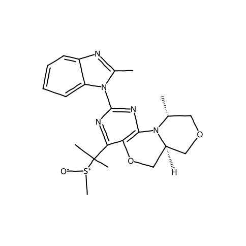 Cc1nc2ccccc2n1-c1nc2c(c(C(C)(C)[S+](C)[O-])n1)OC[C@@H]1COC[C@@H](C)N21